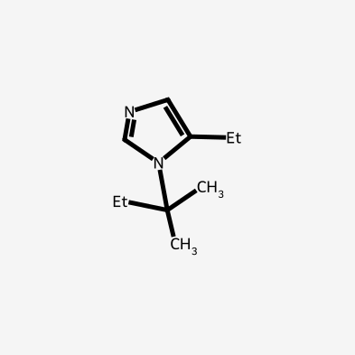 CCc1cncn1C(C)(C)CC